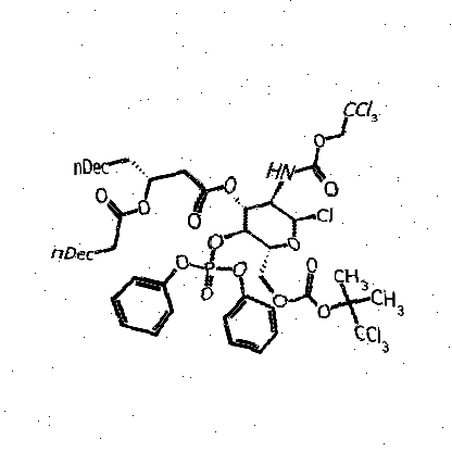 CCCCCCCCCCCC(=O)O[C@H](CCCCCCCCCCC)CC(=O)O[C@@H]1[C@@H](NC(=O)OCC(Cl)(Cl)Cl)[C@@H](Cl)O[C@H](COC(=O)OC(C)(C)C(Cl)(Cl)Cl)[C@H]1OP(=O)(Oc1ccccc1)Oc1ccccc1